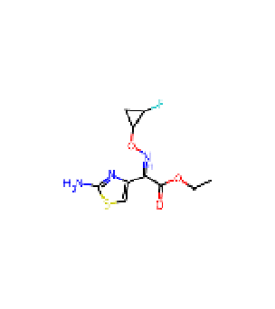 CCOC(=O)/C(=N/OC1CC1F)c1csc(N)n1